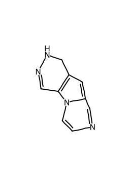 C1=NNCc2cc3cnccn3c21